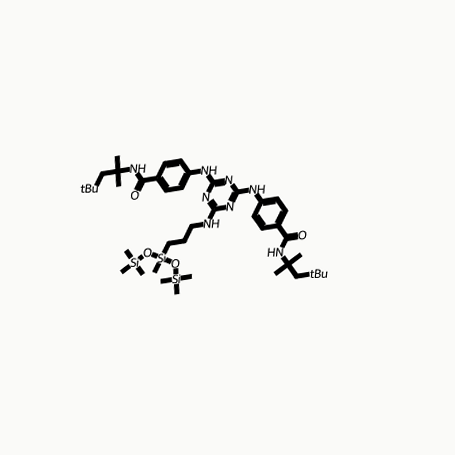 CC(C)(C)CC(C)(C)NC(=O)c1ccc(Nc2nc(NCCC[Si](C)(O[Si](C)(C)C)O[Si](C)(C)C)nc(Nc3ccc(C(=O)NC(C)(C)CC(C)(C)C)cc3)n2)cc1